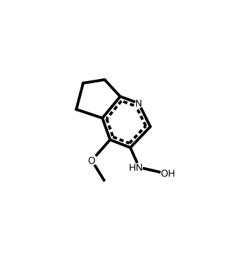 COc1c(NO)cnc2c1CCC2